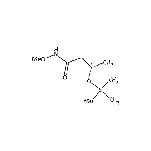 CONC(=O)C[C@H](C)O[Si](C)(C)C(C)(C)C